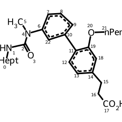 CCCCCCCNC(=O)N(C)c1cccc(-c2ccc(CCC(=O)O)cc2OCCCCC)c1